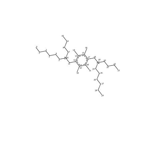 CCCCCCN(CCCC)Cc1c(C)c(C)c(CN(CCCC)CCCCCC)c(C)c1C